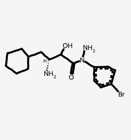 N[C@H](CC1CCCCC1)C(O)C(=O)N(N)c1ccc(Br)cc1